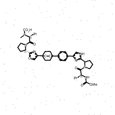 COC(=O)N[C@H](C(=O)N1CCCC1c1nc(-c2ccc(C34CCC(c5coc([C@@H]6CCCN6C(=O)[C@H](C(C)C)N(C)C(=O)O)n5)(CC3)CC4)cc2)c[nH]1)C(C)C